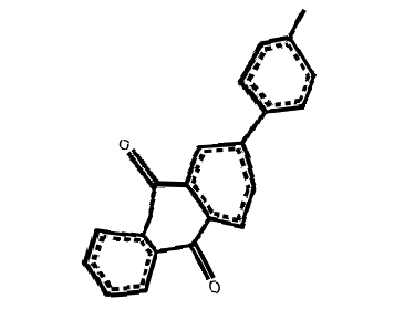 Cc1ccc(-c2ccc3c(c2)C(=O)c2ccccc2C3=O)cc1